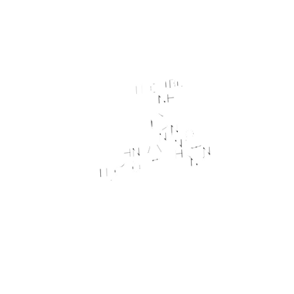 C=CC(=O)Nc1cccc(-n2c(NC(=O)c3cncnc3)nc3cc(CN[C@@H](C)C(C)(C)C)ccc32)c1